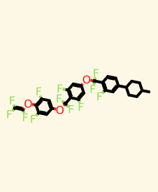 CC1CCC(c2ccc(C(F)(F)Oc3cc(F)c(C(F)(F)Oc4cc(F)c(OC(F)=C(F)F)c(F)c4)c(F)c3)c(F)c2)CC1